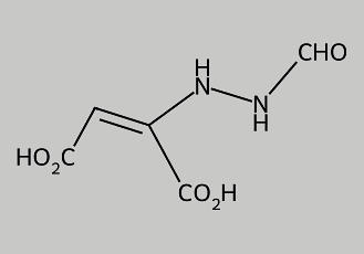 O=CNN/C(=C/C(=O)O)C(=O)O